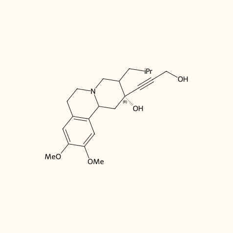 COc1cc2c(cc1OC)C1C[C@](O)(C#CCO)C(CC(C)C)CN1CC2